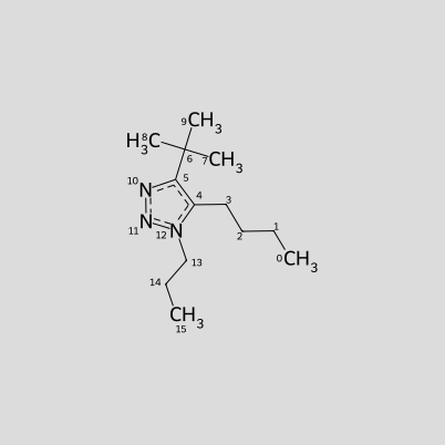 CCCCc1c(C(C)(C)C)nnn1CCC